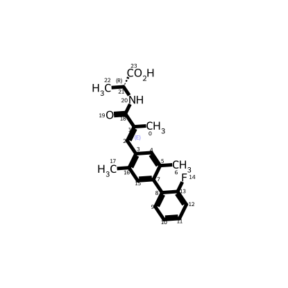 C/C(=C\c1cc(C)c(-c2ccccc2F)cc1C)C(=O)N[C@H](C)C(=O)O